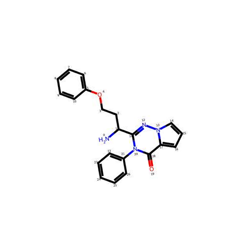 NC(CCOc1ccccc1)c1nn2cccc2c(=O)n1-c1ccccc1